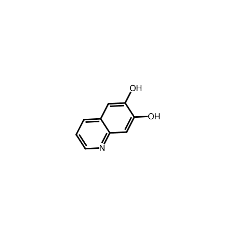 Oc1cc2cccnc2cc1O